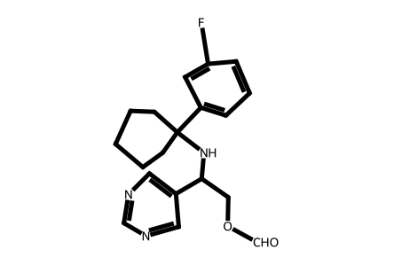 O=COCC(NC1(c2cccc(F)c2)CCCCC1)c1cncnc1